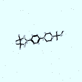 CSC(C)(C)N1CCN(c2ccc(B3OC(C)(C)C(C)(C)O3)cc2)CC1